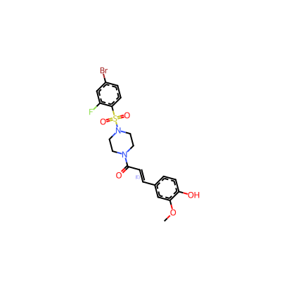 COc1cc(/C=C/C(=O)N2CCN(S(=O)(=O)c3ccc(Br)cc3F)CC2)ccc1O